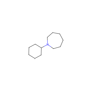 [CH]1CCCC(N2CCCCCC2)C1